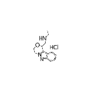 CCNCC1OCCn2nc3ccccc3c21.Cl